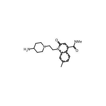 CNC(=O)c1cc(=O)n(CCN2CCC(N)CC2)c2cc(C)ccc12